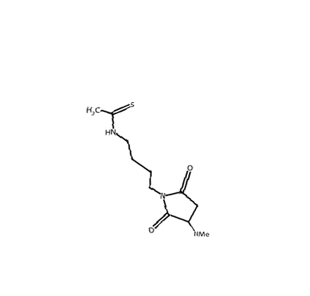 CNC1CC(=O)N(CCCCNC(C)=S)C1=O